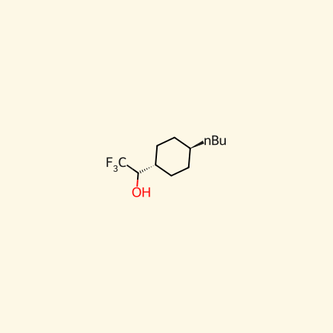 CCCC[C@H]1CC[C@H](C(O)C(F)(F)F)CC1